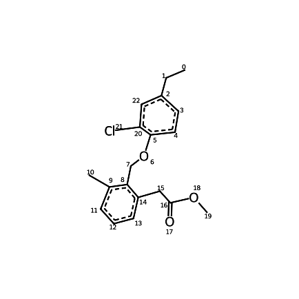 CCc1ccc(OCc2c(C)cccc2CC(=O)OC)c(Cl)c1